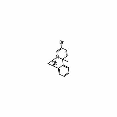 CCC12C[C@@]1(C)c1ccccc1C1(C)C=CC(Br)=CN12